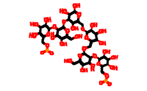 O=P(=O)OCC1O[C@H](O[C@@H]2C(O)[C@H](O)C(CO)O[C@@H]2OC2[C@H](O)C(CO[C@H]3OC(CO[C@H]4OC(CO)[C@@H](O)C(O)[C@H]4O[C@H]4OC(COP(=O)=O)[C@@H](O)C(O)[C@H]4O)[C@@H](O)C(O)[C@H]3O)O[C@@H](O)[C@@H]2O)[C@H](O)C(O)[C@@H]1O